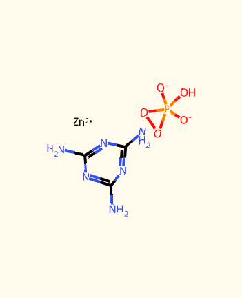 Nc1nc(N)nc(N)n1.[O-]P1([O-])(O)OO1.[Zn+2]